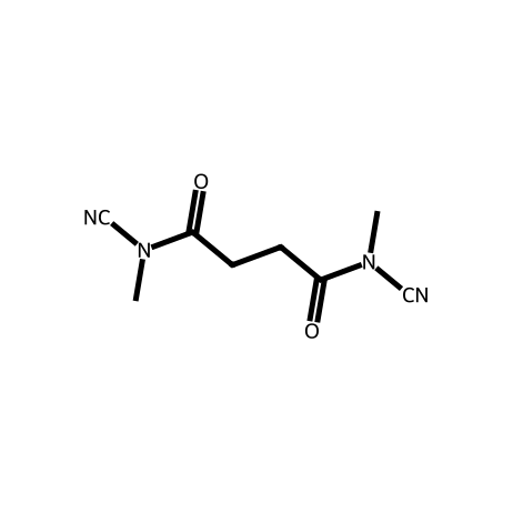 CN(C#N)C(=O)CCC(=O)N(C)C#N